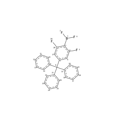 FB(F)c1c(F)cc(C(c2ccccc2)(c2ccccc2)c2ccccc2)cc1F